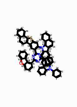 c1ccc(-n2c3ccccc3c3c(-c4nc(-c5cc6c(cc5-n5c7cc8ccccc8cc7c7ccc8ccccc8c75)sc5c7ccccc7ccc65)nc(-c5cccc6oc7ccccc7c56)n4)cccc32)cc1